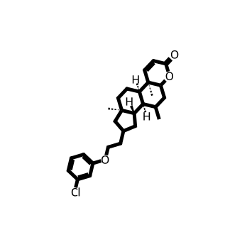 CC1CC2OC(=O)C=C[C@]2(C)[C@@H]2CC[C@]3(C)CC(CCOc4cccc(Cl)c4)C[C@H]3[C@H]12